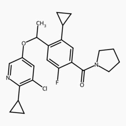 CC(Oc1cnc(C2CC2)c(Cl)c1)c1cc(F)c(C(=O)N2CCCC2)cc1C1CC1